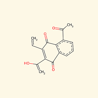 C=CC1=C(C(=C)O)C(=O)c2cccc(C(C)=O)c2C1=O